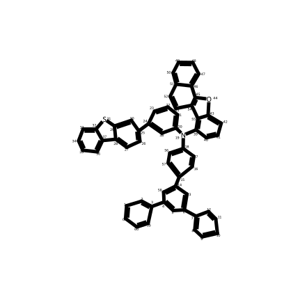 c1ccc(-c2cc(-c3ccccc3)cc(-c3ccc(N(c4cccc(-c5ccc6c(c5)sc5ccccc56)c4)c4cccc5oc6c7ccccc7ccc6c45)cc3)c2)cc1